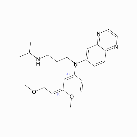 C=C/C(=C\C(=C/COC)OC)N(CCCNC(C)C)c1ccc2nccnc2c1